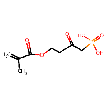 C=C(C)C(=O)OCCC(=O)CP(=O)(O)O